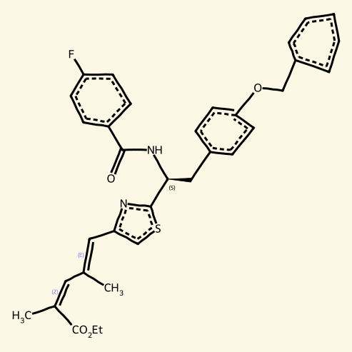 CCOC(=O)/C(C)=C\C(C)=C\c1csc([C@H](Cc2ccc(OCc3ccccc3)cc2)NC(=O)c2ccc(F)cc2)n1